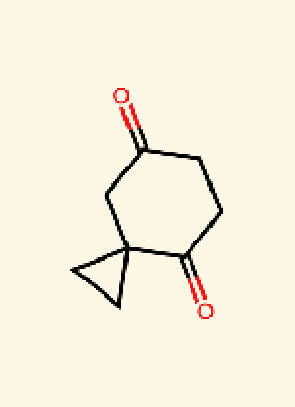 O=C1CCC(=O)C2(CC2)C1